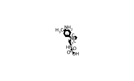 CC1(N)C=CC(NCCNS(=O)(=O)O)=CC1.CCC